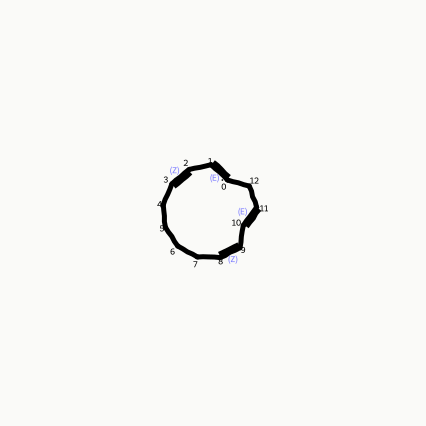 [C]1=C/C=C\CCCC/C=C\C=C\C/1